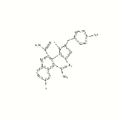 Cc1c(-c2c(C(N)=O)nc3ccc(F)cc3c2C(N)=O)c(C(F)(F)F)nn1Cc1ccc(C#N)cc1